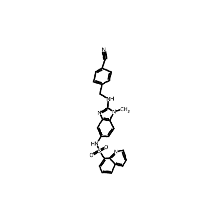 Cn1c(NCc2ccc(C#N)cc2)nc2cc(NS(=O)(=O)c3cccc4cccnc34)ccc21